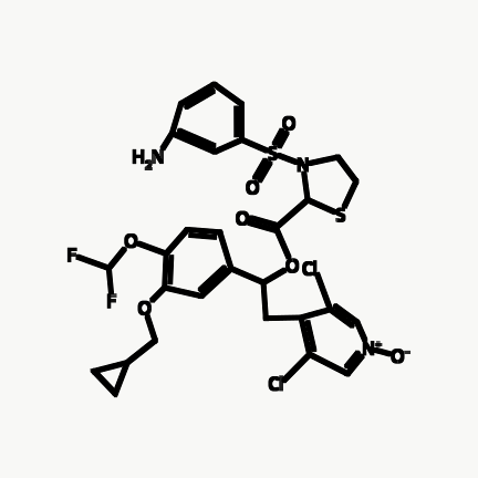 Nc1cccc(S(=O)(=O)N2CCSC2C(=O)OC(Cc2c(Cl)c[n+]([O-])cc2Cl)c2ccc(OC(F)F)c(OCC3CC3)c2)c1